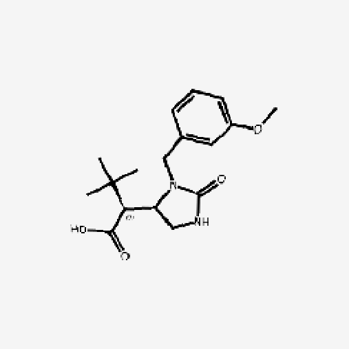 COc1cccc(CN2C(=O)NCC2[C@@H](C(=O)O)C(C)(C)C)c1